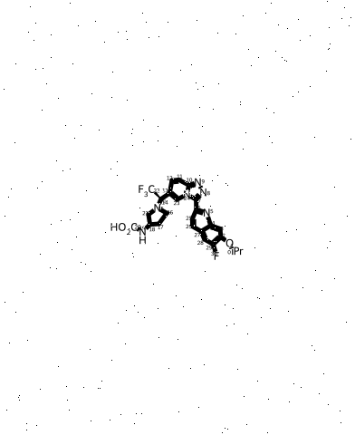 CC(C)Oc1cc2nc(-c3nnc4ccc([C@@H](N5CCC(NC(=O)O)C5)C(F)(F)F)cn34)ccc2cc1F